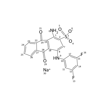 Nc1c(S(=O)(=O)[O-])cc(Nc2cc(F)cc(F)c2)c2c1C(=O)c1ccccc1C2=O.[Na+]